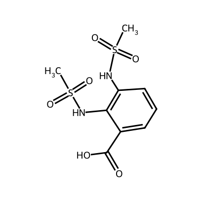 CS(=O)(=O)Nc1cccc(C(=O)O)c1NS(C)(=O)=O